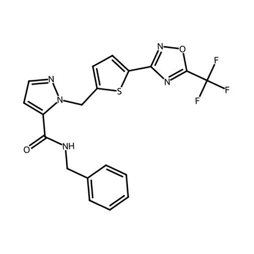 O=C(NCc1ccccc1)c1ccnn1Cc1ccc(-c2noc(C(F)(F)F)n2)s1